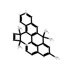 Cc1cc2c3c4[n+](ccc3c1)C1(C)C=CC1(C)c1c-4c(cc3cnccc13)C2(C)C